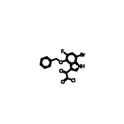 O=C(Cl)C(=O)c1c[nH]c2c(Br)cc(F)c(OCc3ccccc3)c12